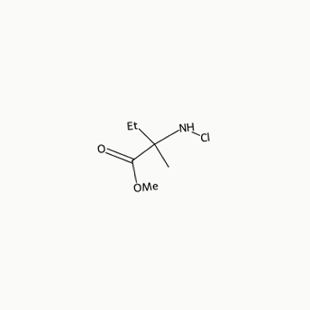 CCC(C)(NCl)C(=O)OC